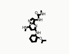 CNC(=O)Nc1cnn2c(NC)cc(Nc3ccccc3OC(C)C)nc12